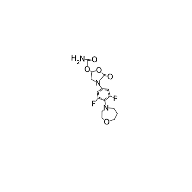 NC(=O)OC1CN(c2cc(F)c(N3CCCOCC3)c(F)c2)C(=O)O1